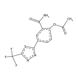 CC(=O)Oc1ccc(-c2nnc(C(F)(F)F)s2)cc1C(N)=O